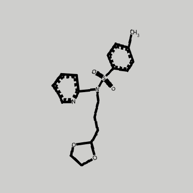 Cc1ccc(S(=O)(=O)N(CCCC2OCCO2)c2ccccn2)cc1